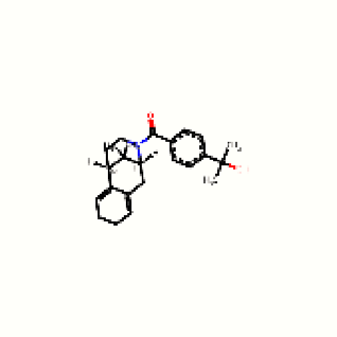 CC(C)(O)c1ccc(C(=O)N2CC[C@H]3C4=CCCC=C4C[C@@H]2C3(C)C)cc1